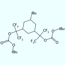 CCC(C)C1CC(C(OC(=O)OC(C)(C)C)(C(F)(F)F)C(F)(F)F)CC(C(OC(=O)OC(C)(C)C)(C(F)(F)F)C(F)(F)F)C1